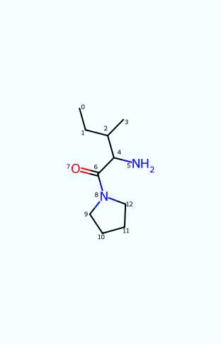 CCC(C)C(N)C(=O)N1CCCC1